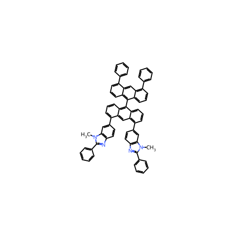 Cn1c(-c2ccccc2)nc2ccc(-c3cccc4c(-c5c6cccc(-c7ccccc7)c6cc6c(-c7ccccc7)cccc56)c5cccc(-c6ccc7nc(-c8ccccc8)n(C)c7c6)c5cc34)cc21